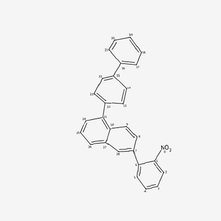 O=[N+]([O-])c1ccccc1-c1ccc2c(-c3ccc(-c4ccccc4)cc3)cccc2c1